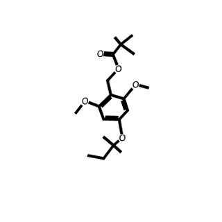 CCC(C)(C)Oc1cc(OC)c(COC(=O)C(C)(C)C)c(OC)c1